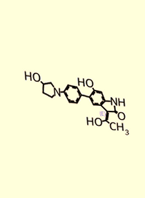 C/C(O)=C1\C(=O)Nc2cc(O)c(-c3ccc(N4CCC(O)C4)cc3)cc21